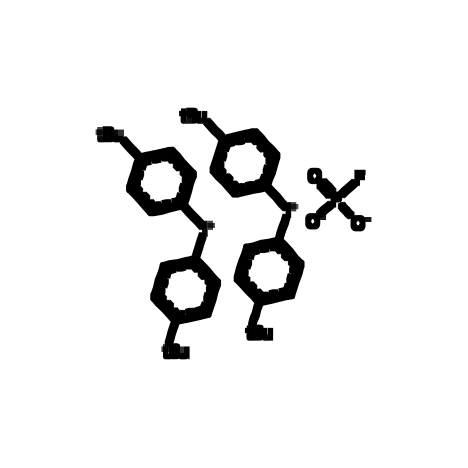 CC(C)(C)c1ccc([I+]c2ccc(C(C)(C)C)cc2)cc1.CC(C)(C)c1ccc([I+]c2ccc(C(C)(C)C)cc2)cc1.O=P([O-])([O-])F